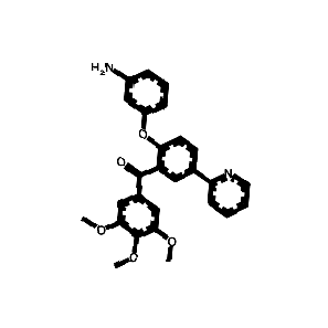 COc1cc(C(=O)c2cc(-c3ccccn3)ccc2Oc2cccc(N)c2)cc(OC)c1OC